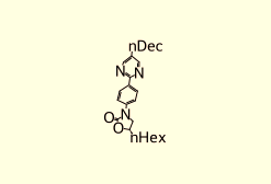 CCCCCCCCCCc1cnc(-c2ccc(N3C[C@@H](CCCCCC)OC3=O)cc2)nc1